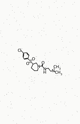 CN(C)CCNC(=O)N1CCCC(S(=O)(=O)c2ccc(Cl)cc2)C1